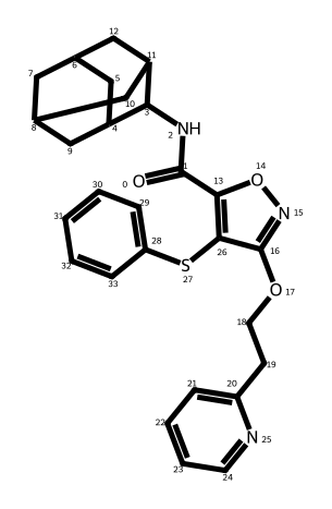 O=C(NC1C2CC3CC(C2)CC1C3)c1onc(OCCc2ccccn2)c1Sc1ccccc1